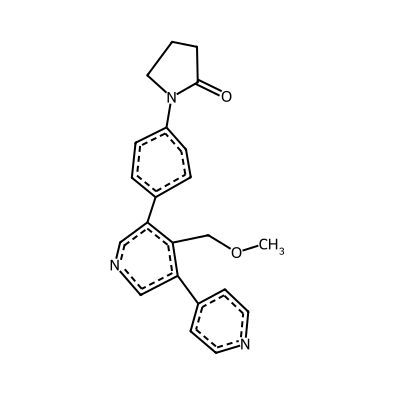 COCc1c(-c2ccncc2)cncc1-c1ccc(N2CCCC2=O)cc1